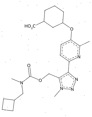 Cc1nc(-c2nnn(C)c2COC(=O)N(C)CC2CCC2)ccc1OC1CCCC(C(=O)O)C1